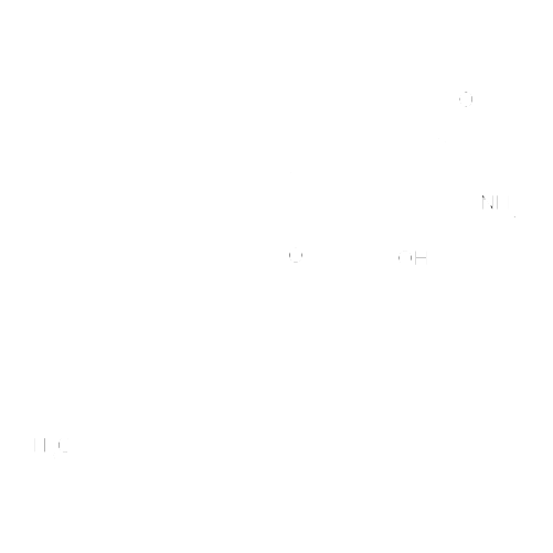 CCCCCCOc1cccc(C(N)=O)c1O